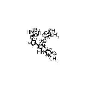 Cn1cc(Nc2cc(C3CC[C@H](OC(=O)NC(C)(C)C)C3)n(COCC[Si](C)(C)C)n2)ccc1=O